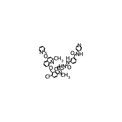 Cc1cc(OCc2ccccn2)c2cccc(OCc3c(Cl)ccc(N(C)C(=O)CNC(=O)Nc4cccc(C(=O)Nc5ccncc5)c4)c3Cl)c2n1